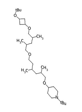 CC(CCOCC(C)CC(C)COC1CC(OC(C)(C)C)C1)CC(C)COC1CCN(C(C)(C)C)CC1